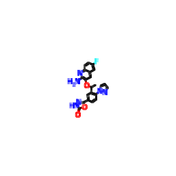 CC(Oc1cc2cc(F)ccc2nc1N)c1cc(-c2n[nH]c(=O)o2)ccc1-n1cccn1